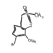 COc1c(Br)ccc(CS(C)(=O)=O)c1I